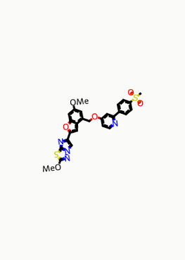 COc1cc(COc2ccnc(-c3ccc(S(C)(=O)=O)cc3)c2)c2cc(-c3cn4nc(OC)sc4n3)oc2c1